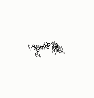 COCC1C[C@@H](c2ncc(-c3cc4c5c(c3)OCc3cc(-c6cnc([C@@H]7CC[C@H](C)N7C(=O)[C@@H](NC(=O)OC)C(C)C)[nH]6)cc(c3-5)OC4)[nH]2)N(C(=O)OC(C)(C)C)C1